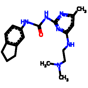 Cc1cc(NCCN(C)C)nc(NC(=O)Nc2ccc3c(c2)CCC3)n1